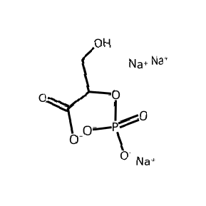 O=C([O-])C(CO)OP(=O)([O-])[O-].[Na+].[Na+].[Na+]